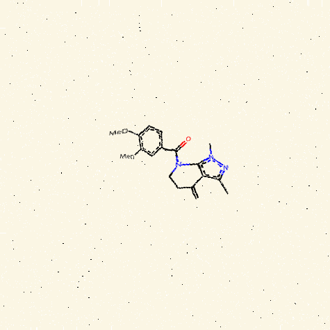 C=C1CCN(C(=O)c2ccc(OC)c(OC)c2)c2c1c(C)nn2C